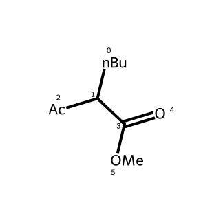 CCCCC(C(C)=O)C(=O)OC